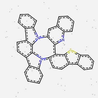 c1ccc2nc3c4c5sc6ccccc6c5ccc4n4c5ccccc5c5ccc6c7ccccc7n(c3cc2c1)c6c54